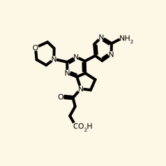 Nc1ncc(-c2nc(N3CCOCC3)nc3c2CCN3C(=O)CCC(=O)O)cn1